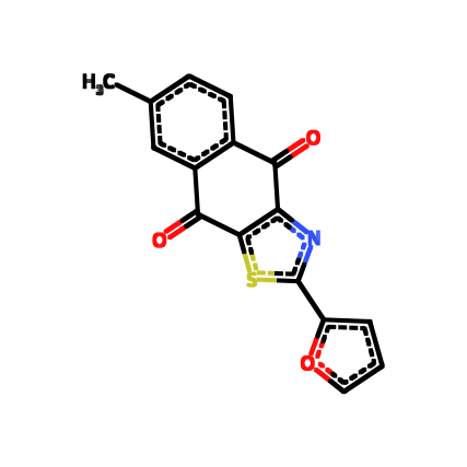 Cc1ccc2c(c1)C(=O)c1sc(-c3ccco3)nc1C2=O